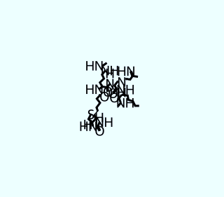 CCCCCC(NC(=O)C(CNCCC(C)=N)NC(=O)C(CCCNC(C)=N)NC(=O)CCCC[C@@H]1SC[C@@H]2NC(=O)N[C@@H]21)C(=O)NC